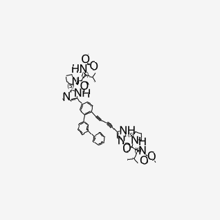 COC(=O)N[C@H](C(=O)N1CCC[C@H]1c1ncc(C#CC#Cc2ccc(-c3cnc([C@@H]4CCCN4C(=O)[C@@H](NC(=O)OC)C(C)C)[nH]3)cc2-c2cccc(-c3ccccc3)c2)[nH]1)C(C)C